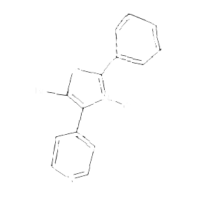 [O-][n+]1c(-c2ccccc2)sc(Br)c1-c1ccncc1